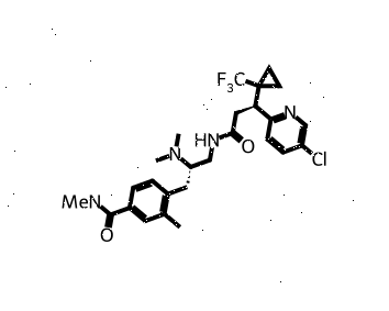 CNC(=O)c1ccc(C[C@@H](CNC(=O)C[C@H](c2ccc(Cl)cn2)C2(C(F)(F)F)CC2)N(C)C)c(C)c1